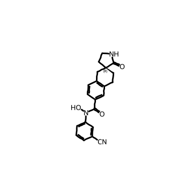 N#Cc1cccc(N(O)C(=O)c2ccc3c(c2)CC[C@]2(CCNC2=O)C3)c1